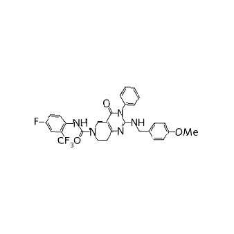 COc1ccc(CNc2nc3c(c(=O)n2-c2ccccc2)CN(C(=O)Nc2ccc(F)cc2C(F)(F)F)CC3)cc1